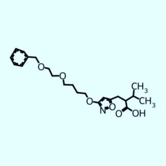 CC(C)C(Cc1cc(OCCCCOCCOCc2ccccc2)no1)C(=O)O